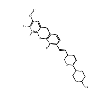 CCCC1CCC(C2CCC(/C=C/c3ccc4c(c3F)Oc3c(cc(OCC)c(F)c3F)C4)CO2)CC1